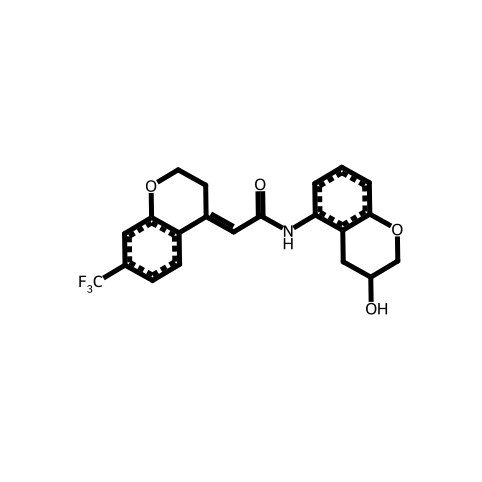 O=C(C=C1CCOc2cc(C(F)(F)F)ccc21)Nc1cccc2c1CC(O)CO2